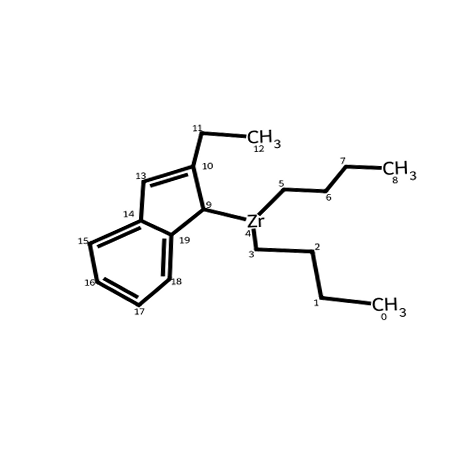 CCC[CH2][Zr]([CH2]CCC)[CH]1C(CC)=Cc2ccccc21